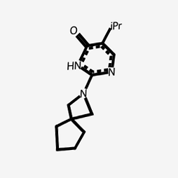 CC(C)c1cnc(N2CC3(CCCC3)C2)[nH]c1=O